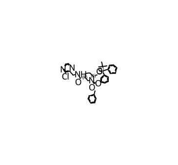 CC(C)(C)[Si](OC[C@@H]1CC[C@@H](C(=O)NCc2nccnc2Cl)CN1C(=O)OCc1ccccc1)(c1ccccc1)c1ccccc1